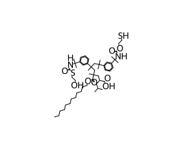 CCCCCCCCCCCCOC(=O)C(C)(CC(CC(C)C)C(=O)O)CC(C)(CC(C)(C)c1cccc(C(C)(C)NC(=O)OCCS)c1)c1cccc(C(C)(C)NC(=O)SCCO)c1